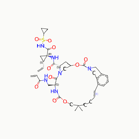 C=CC(=O)NC[C@@H]1NC(=O)OCC(C)(C)CC/C=C/c2cccc3c2CN(C3)C(=O)OC2C[C@@H](C(=O)N[C@]3(C(=O)NS(=O)(=O)C4CC4)C[C@H]3C=C)N(C2)C1=O